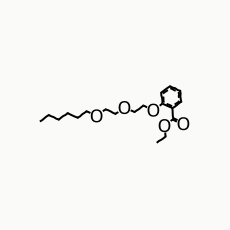 CCCCCCOCCOCCOc1ccccc1C(=O)OCC